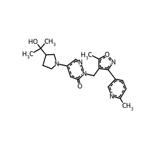 Cc1ccc(-c2noc(C)c2Cn2ncc(N3CCC(C(C)(C)O)C3)cc2=O)cn1